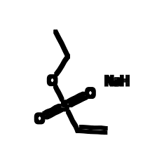 C=CS(=O)(=O)OCC.[NaH]